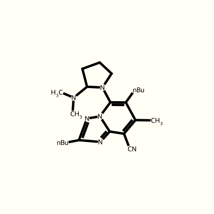 CCCCc1nc2c(C#N)c(C)c(CCCC)c(N3CCCC3N(C)C)n2n1